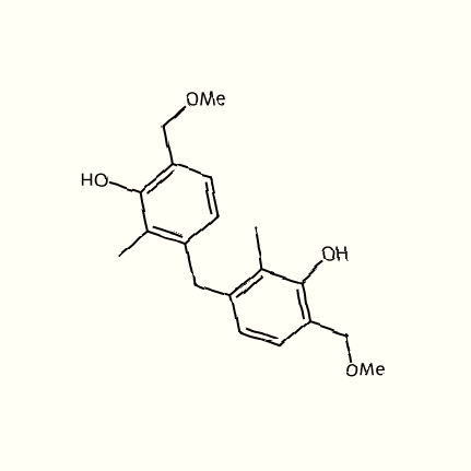 COCc1ccc(Cc2ccc(COC)c(O)c2C)c(C)c1O